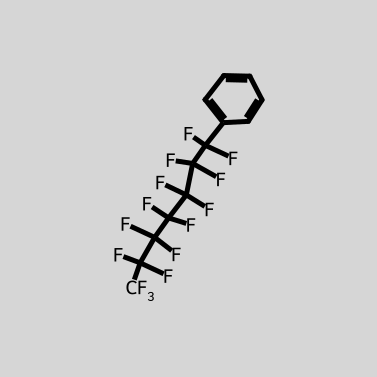 FC(F)(F)C(F)(F)C(F)(F)C(F)(F)C(F)(F)C(F)(F)C(F)(F)c1ccccc1